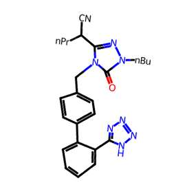 CCCCn1nc(C(C#N)CCC)n(Cc2ccc(-c3ccccc3-c3nnn[nH]3)cc2)c1=O